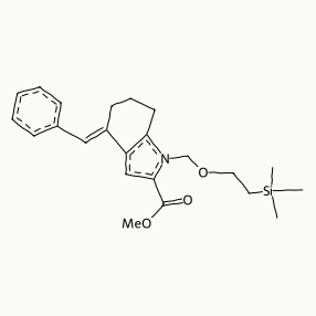 COC(=O)c1cc2c(n1COCC[Si](C)(C)C)CCCC2=Cc1ccccc1